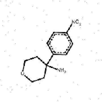 NC1(c2ccc([N+](=O)[O-])cc2)CCOCC1